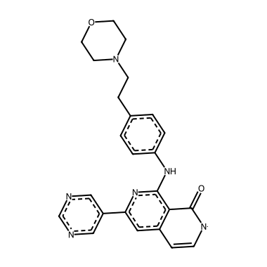 O=C1[N]C=Cc2cc(-c3cncnc3)nc(Nc3ccc(CCN4CCOCC4)cc3)c21